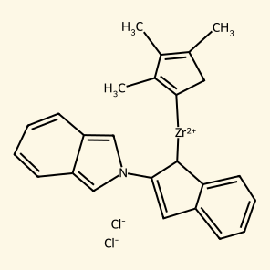 CC1=C(C)C(C)=[C]([Zr+2][CH]2C(n3cc4ccccc4c3)=Cc3ccccc32)C1.[Cl-].[Cl-]